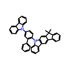 CC1(C)c2ccccc2-c2cc3c4ccccc4n(-c4ccc(-n5c6ccccc6c6ccccc65)cc4-c4ccccc4)c3cc21